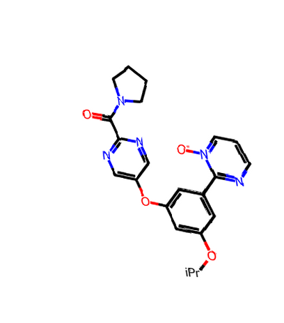 CC(C)Oc1cc(Oc2cnc(C(=O)N3CCCC3)nc2)cc(-c2nccc[n+]2[O-])c1